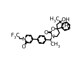 C[C@@H](c1ccc(-c2ccn(CC(F)(F)F)c(=O)c2)cc1)N1CCC(CC(C)(C)O)(c2ccccc2)OC1=O